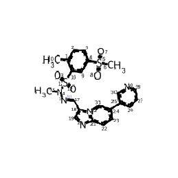 Cc1ccc(S(C)(=O)=O)cc1S(=O)(=O)N(C)/N=C/c1cnc2ccc(-c3cccnc3)cn12